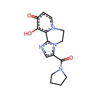 O=C(c1cnc2n1CCn1ccc(=O)c(O)c1-2)N1CCCC1